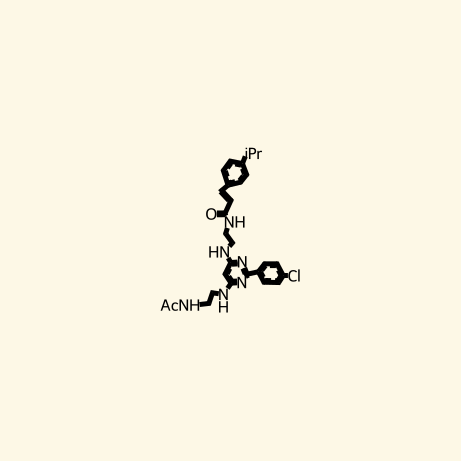 CC(=O)NCCNc1cc(NCCNC(=O)/C=C/c2ccc(C(C)C)cc2)nc(-c2ccc(Cl)cc2)n1